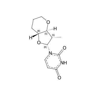 C[C@H]1[C@@H]2OCCC[C@H]2O[C@H]1n1ccc(=O)[nH]c1=O